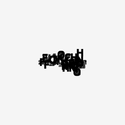 Cc1c(C(=O)N2CCC(C(F)(F)F)CC2)cnn1-c1nc2[nH]ccc2c(=O)[nH]1